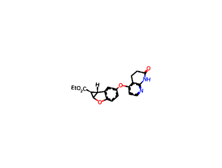 CCOC(=O)[C@@H]1C2Oc3ccc(Oc4ccnc5c4CCC(=O)N5)cc3[C@H]21